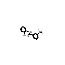 O=C(Nc1cnccc1O)c1cccc([N+](=O)[O-])c1